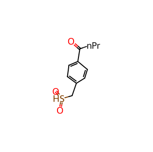 CCCC(=O)c1ccc(C[SH](=O)=O)cc1